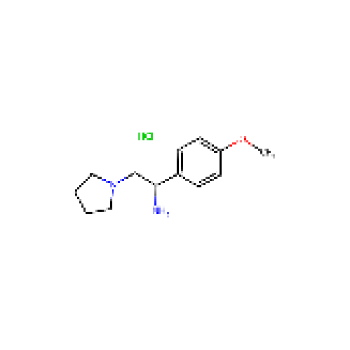 Cl.NC(CN1CCCC1)c1ccc(OC(F)(F)F)cc1